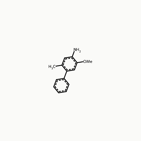 COc1cc(-c2ccccc2)c(C)cc1N